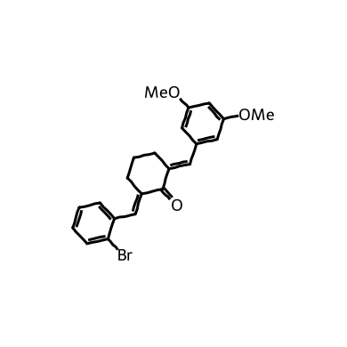 COc1cc(/C=C2\CCC/C(=C\c3ccccc3Br)C2=O)cc(OC)c1